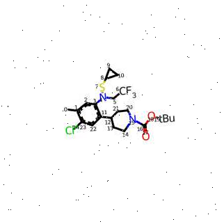 Cc1cc(N(CC(F)(F)F)SC2CC2)c(C2CCN(C(=O)OC(C)(C)C)CC2)cc1Cl